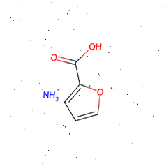 N.O=C(O)c1ccco1